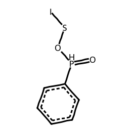 O=[PH](OSI)c1ccccc1